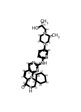 C[C@@H]1CN(c2ccc(Nc3ncc4c(n3)N3C(C=C4)C(=O)NCC34CCCCC4)nc2)CCN1C[C@@H](C)O